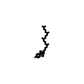 Cc1ccc(S(=O)(=O)OCCCCC(C)CCCC(C)CCCC(C)CCCC(C)C)cc1